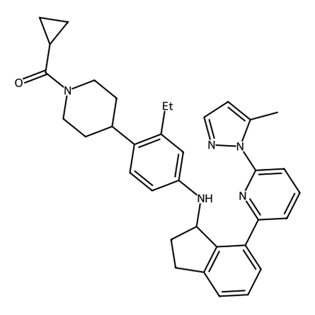 CCc1cc(NC2CCc3cccc(-c4cccc(-n5nccc5C)n4)c32)ccc1C1CCN(C(=O)C2CC2)CC1